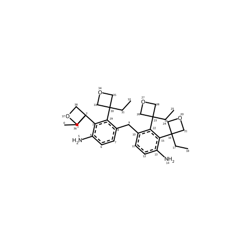 CCC1(c2c(N)ccc(Cc3ccc(N)c(C4(CC)COC4)c3C3(CC)COC3)c2C2(CC)COC2)COC1